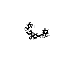 O=C(c1ccc(C=Cc2n[nH]c3ccccc23)cc1)N1CCN(C(=O)C2CCCN2)CC1